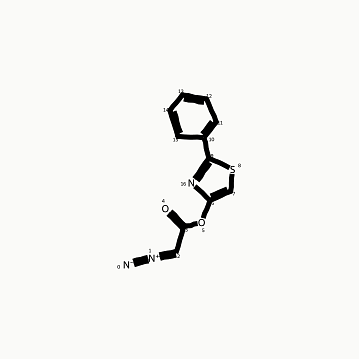 [N-]=[N+]=CC(=O)Oc1csc(-c2ccccc2)n1